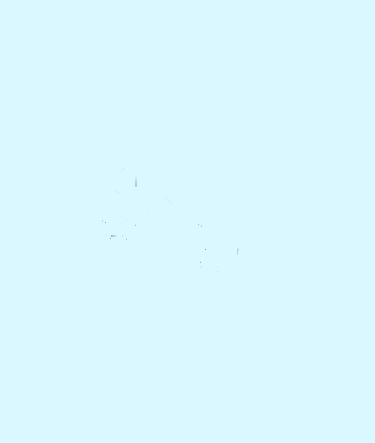 CCCCN(Cc1ccc(-c2ccccc2-c2nnn[nH]2)cc1)c1cc(CC)nc2ccnn12